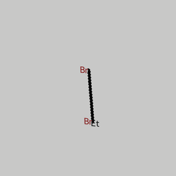 CCC(Br)CCCCCCCCCCCCCCCCCCCCCCCCCCC=CCCCCCCCC(C)Br